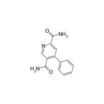 NC(=O)c1cc(-c2ccccc2)c(C(N)=O)cn1